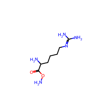 NOC(=O)C(N)CCCCN=C(N)N